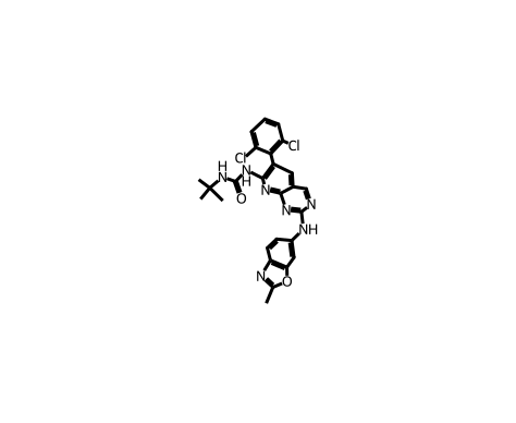 Cc1nc2ccc(Nc3ncc4cc(-c5c(Cl)cccc5Cl)c(NC(=O)NC(C)(C)C)nc4n3)cc2o1